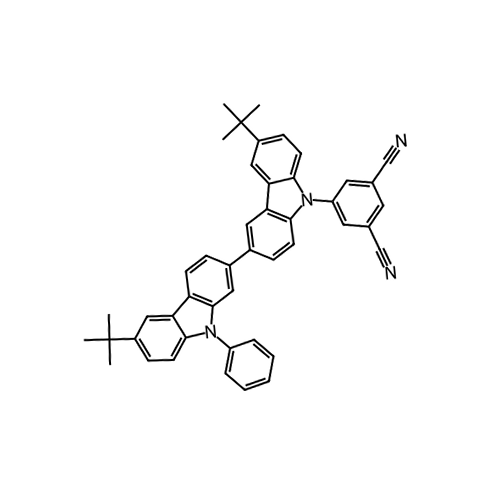 CC(C)(C)c1ccc2c(c1)c1cc(-c3ccc4c5cc(C(C)(C)C)ccc5n(-c5ccccc5)c4c3)ccc1n2-c1cc(C#N)cc(C#N)c1